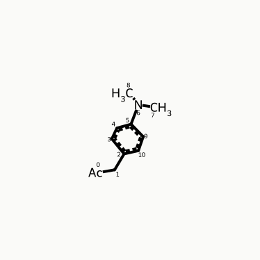 CC(=O)Cc1ccc(N(C)C)cc1